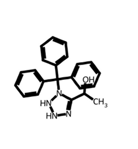 CC(O)C1=NNNN1C(c1ccccc1)(c1ccccc1)c1ccccc1